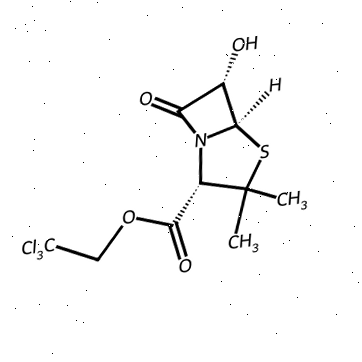 CC1(C)S[C@@H]2[C@@H](O)C(=O)N2[C@H]1C(=O)OCC(Cl)(Cl)Cl